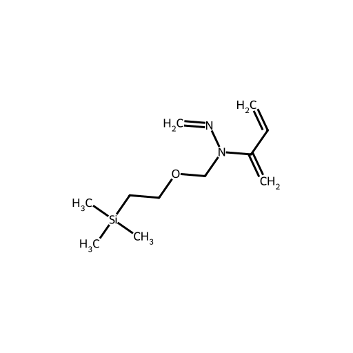 C=CC(=C)N(COCC[Si](C)(C)C)N=C